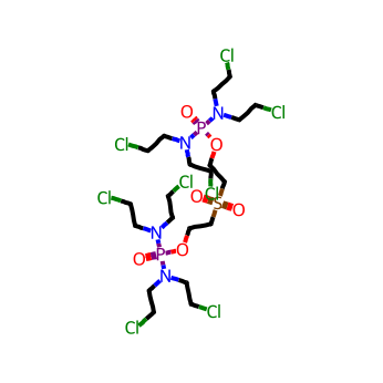 O=P(OCCS(=O)(=O)CCOP(=O)(N(CCCl)CCCl)N(CCCl)CCCl)(N(CCCl)CCCl)N(CCCl)CCCl